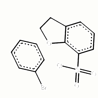 Brc1ccccc1.O=S(=O)(Cl)c1cccc2c1OCC2